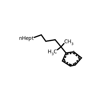 CCCCCCCCCCC(C)(C)c1[c]cccc1